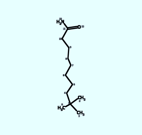 CC(C)(C)CCCCCCCC(N)=O